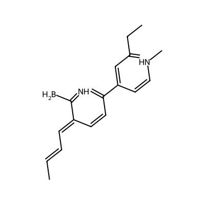 BC(=N)C(/C=C\C(=C)C(/C=C\NC)=C/C(=C)CC)=C/C=C/C